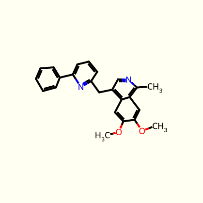 COc1cc2c(Cc3cccc(-c4ccccc4)n3)cnc(C)c2cc1OC